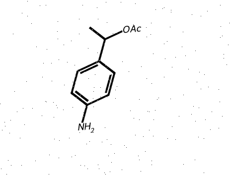 CC(=O)OC(C)c1ccc(N)cc1